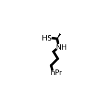 CCCCCCN[C@H](C)S